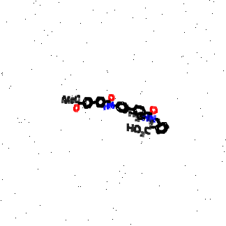 C=C(/C=C\C(=C/C)c1ccc(NC(=O)c2ccc(-c3ccc(C(=O)OC)cc3)cc2)cc1)C(=O)NCc1ccccc1CC(=O)O